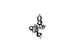 CN1CCc2cc(NS(=O)(=O)c3ccccc3N(C)Cc3ccc(F)cc3)c(N(C)C)cc2CC1